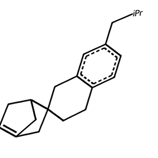 CC(C)Cc1ccc2c(c1)CC1(CC2)CC2=CCC1C2